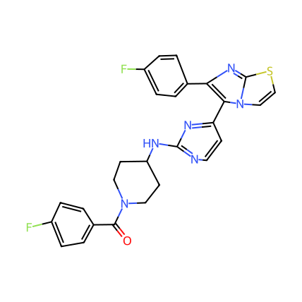 O=C(c1ccc(F)cc1)N1CCC(Nc2nccc(-c3c(-c4ccc(F)cc4)nc4sccn34)n2)CC1